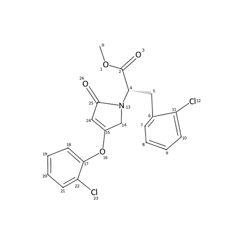 COC(=O)[C@H](Cc1ccccc1Cl)N1CC(Oc2ccccc2Cl)=CC1=O